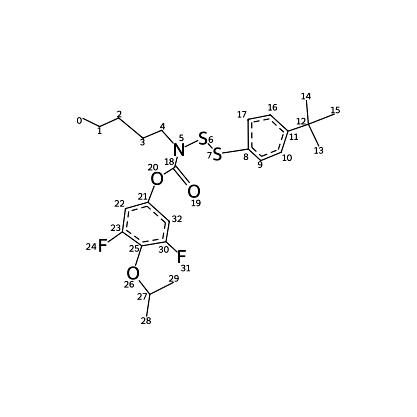 CCCCCN(SSc1ccc(C(C)(C)C)cc1)C(=O)Oc1cc(F)c(OC(C)C)c(F)c1